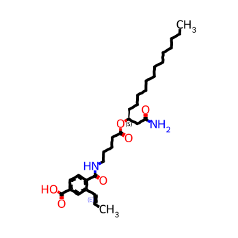 C/C=C/c1cc(C(=O)O)ccc1C(=O)NCCCCC(=O)O[C@@H](CCCCCCCCCCCCC)CC(N)=O